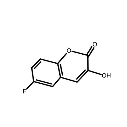 O=c1oc2ccc(F)cc2cc1O